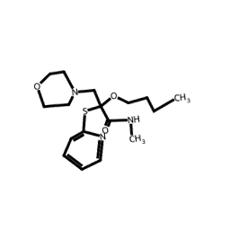 CCCCOC(CN1CCOCC1)(Sc1ccccn1)C(=O)NC